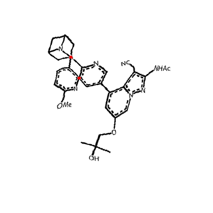 COc1ccc(CN2C3CC2CN(c2ccc(-c4cc(OCC(C)(C)O)cn5nc(NC(C)=O)c(C#N)c45)cn2)C3)cn1